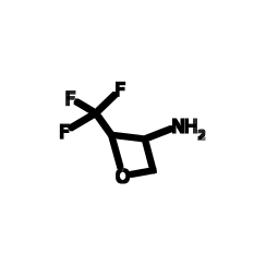 NC1COC1C(F)(F)F